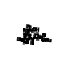 CCn1cnc2c(N[C@H]3CCN(C(=O)OC(C)(C)C)C3)nc(N[C@@H](CO)C(C)C)nc21